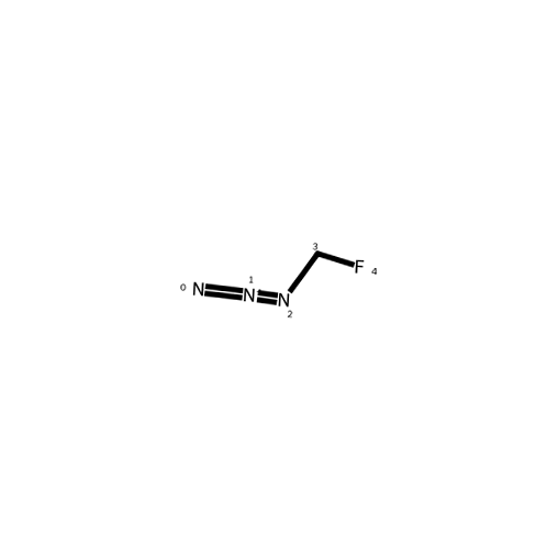 [N-]=[N+]=NCF